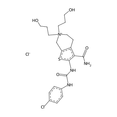 NC(=O)c1c(NC(=O)Nc2ccc(Cl)cc2)sc2c1CC[N+](CCCO)(CCCO)C2.[Cl-]